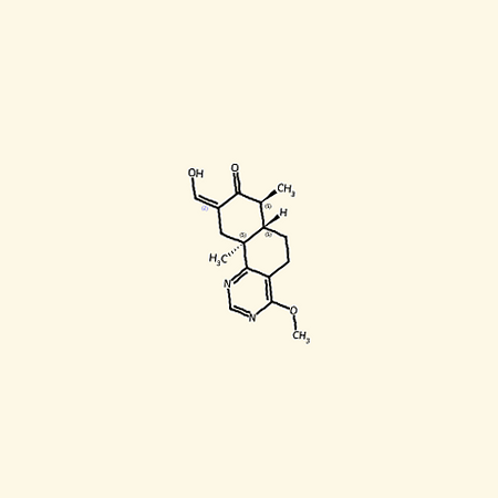 COc1ncnc2c1CC[C@H]1[C@H](C)C(=O)/C(=C\O)C[C@]21C